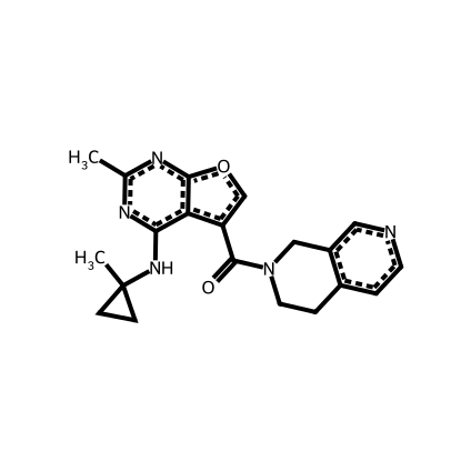 Cc1nc(NC2(C)CC2)c2c(C(=O)N3CCc4ccncc4C3)coc2n1